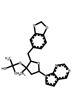 CC(C)(O)OC1(C)CC(n2ccc3cncnc32)OC1Cc1ccc2c(c1)OCO2